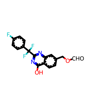 O=COCc1ccc2c(O)nc(C(F)(F)c3ccc(F)cc3)nc2c1